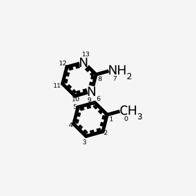 Cc1ccccc1.Nc1ncccn1